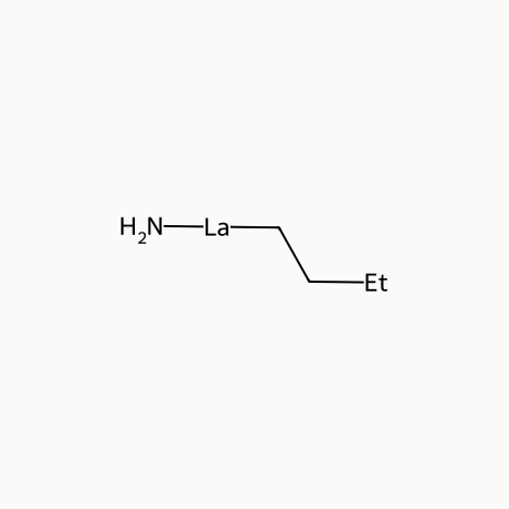 CCC[CH2][La][NH2]